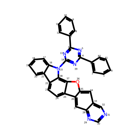 c1ccc(-c2nc(-c3ccccc3)nc(-n3c4ccccc4c4ccc5c6cc7ncncc7cc6oc5c43)n2)cc1